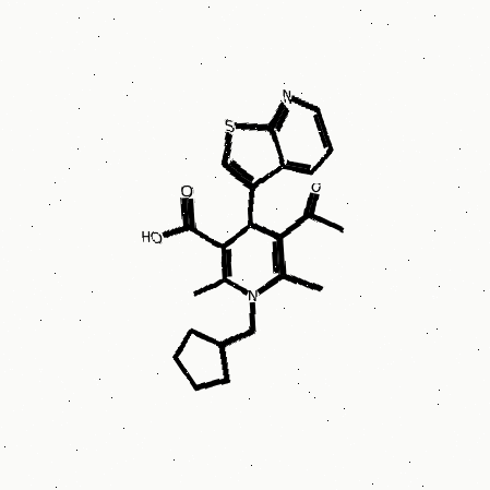 CC(=O)C1=C(C)N(CC2CCCC2)C(C)=C(C(=O)O)C1c1csc2ncccc12